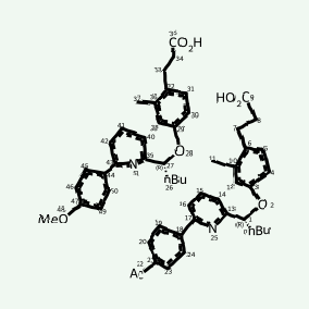 CCCC[C@@H](Oc1ccc(CCC(=O)O)c(C)c1)c1cccc(-c2ccc(C(C)=O)cc2)n1.CCCC[C@@H](Oc1ccc(CCC(=O)O)c(C)c1)c1cccc(-c2ccc(OC)cc2)n1